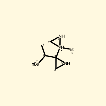 CCCCC(C)C1([PH]2(CC)CN2)CN1